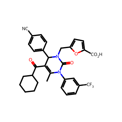 CC1=C(C(=O)C2CCCCC2)C(c2ccc(C#N)cc2)N(Cc2ccc(C(=O)O)o2)C(=O)N1c1cccc(C(F)(F)F)c1